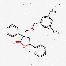 O=C1O[C@H](c2ccccc2)C[C@]1(COCc1cc(C(F)(F)F)cc(C(F)(F)F)c1)c1ccccc1